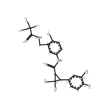 O=C(Nc1ccc(Cl)c(CNC(=O)C(F)(F)F)c1)C1C(c2ccc(Cl)c(Cl)c2)C1(Cl)Cl